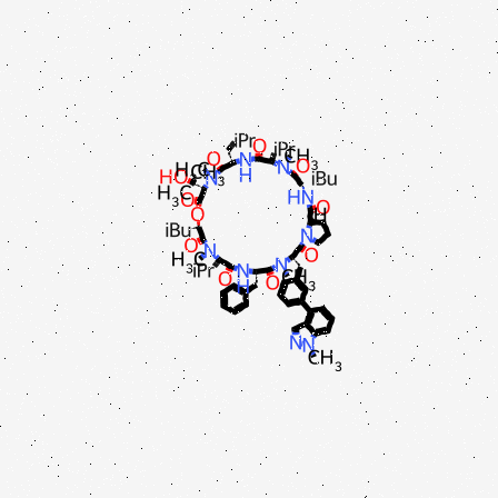 CC[C@H](C)[C@@H]1NC(=O)[C@@H]2CCCN2C(=O)[C@H](Cc2cccc(-c3cccc4c3cnn4C)c2)N(C)C(=O)[C@H](Cc2ccccc2)NC(=O)C(C(C)C)N(C)C(=O)[C@@H]([C@@H](C)CC)OC(=O)[C@H](C(C)(C)O)N(C)C(=O)[C@H](CC(C)C)NC(=O)C(C(C)C)N(C)C1=O